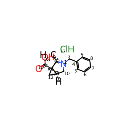 C[C@@H]1N(Cc2ccccc2)C[C@H]2C[C@]21C(=O)O.Cl